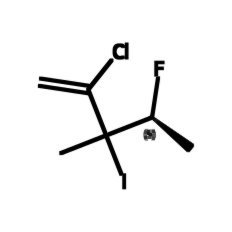 C=C(Cl)C(C)(I)[C@H](C)F